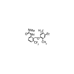 CCc1cc(C)c(OCc2c(NC(=O)NC)cccc2C(F)(F)F)cc1C